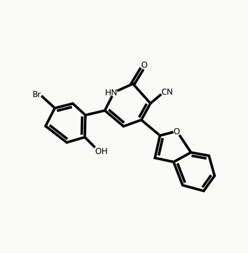 N#Cc1c(-c2cc3ccccc3o2)cc(-c2cc(Br)ccc2O)[nH]c1=O